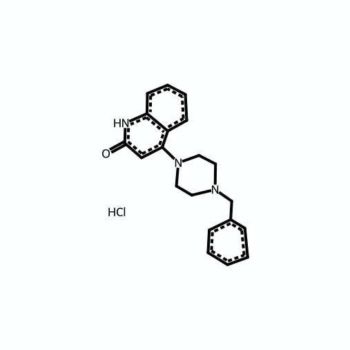 Cl.O=c1cc(N2CCN(Cc3ccccc3)CC2)c2ccccc2[nH]1